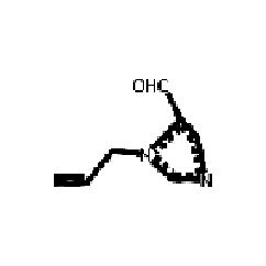 C=CCn1cncc1C=O